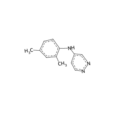 Cc1ccc(Nc2ccnnc2)c(C)c1